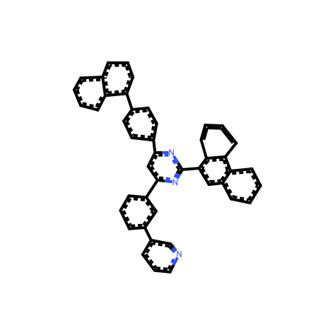 C1=C=Cc2c(c(-c3nc(-c4ccc(-c5cccc6ccccc56)cc4)cc(-c4cccc(-c5cccnc5)c4)n3)cc3ccccc23)C=1